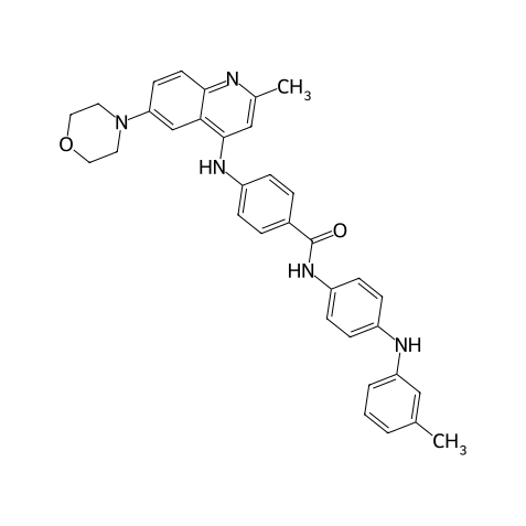 Cc1cccc(Nc2ccc(NC(=O)c3ccc(Nc4cc(C)nc5ccc(N6CCOCC6)cc45)cc3)cc2)c1